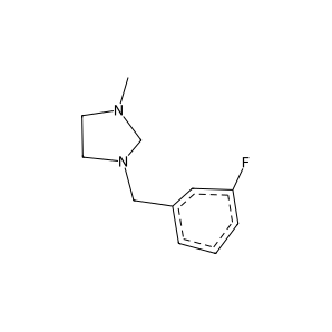 CN1CCN(Cc2cccc(F)c2)C1